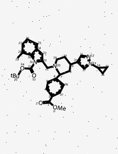 COC(=O)c1ccc(C2CC(c3cnn(C4CC4)c3)CCN2Cc2cc3cccc(C)c3n2C(=O)OC(C)(C)C)cc1